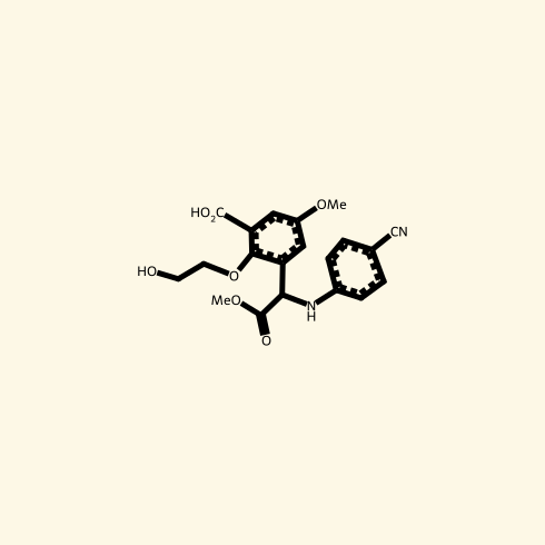 COC(=O)C(Nc1ccc(C#N)cc1)c1cc(OC)cc(C(=O)O)c1OCCO